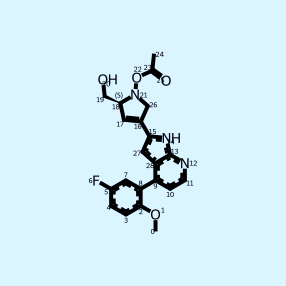 COc1ccc(F)cc1-c1ccnc2[nH]c(C3=C[C@@H](CO)N(OC(C)=O)C3)cc12